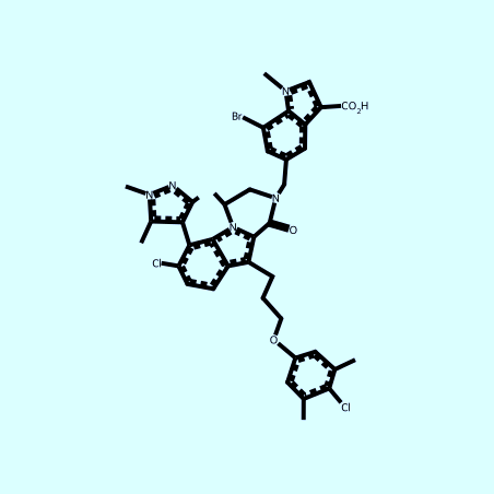 Cc1cc(OCCCc2c3n(c4c(-c5c(C)nn(C)c5C)c(Cl)ccc24)C(C)CN(Cc2cc(Br)c4c(c2)c(C(=O)O)cn4C)C3=O)cc(C)c1Cl